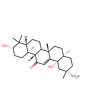 CC1(C)[C@@H](O)CC[C@]2(C)[C@H]3C(=O)C=C4[C@]5(O)C[C@@](C)(C(=O)O)CC[C@]5(C)CC[C@@]4(C)C3CC[C@@H]12